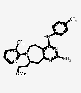 COCCC1Cc2nc(N)nc(Nc3ccc(C(F)(F)F)cc3)c2CCN1c1ncccc1C(F)(F)F